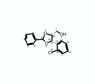 OC[C@H]1OC(c2ccccc2)O[C@H]1c1ccccc1Cl